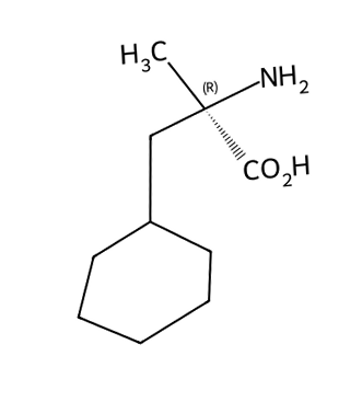 C[C@@](N)(CC1CCCCC1)C(=O)O